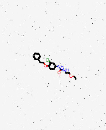 CCOCCNC(=O)Nc1ccc(OCCc2ccccc2)c(Cl)c1